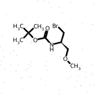 COC[C@H](CBr)NC(=O)OC(C)(C)C